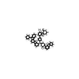 CC1CC(N(c2ccc(-c3cccc4c5c(oc34)C=CCC5C)cc2)c2cccc3c2oc2c3ccc3c2c2ccccc2n3-c2ccccc2)=CC=C1c1cccc2c1oc1ccccc12